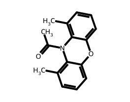 CC(=O)N1c2c(C)cccc2Oc2cccc(C)c21